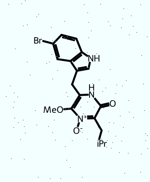 COc1c(Cc2c[nH]c3ccc(Br)cc23)[nH]c(=O)c(CC(C)C)[n+]1[O-]